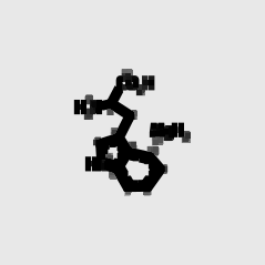 NC(Cc1c[nH]c2ccccc12)C(=O)O.[MgH2]